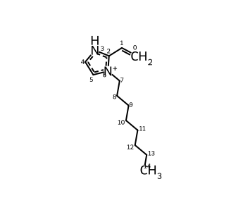 C=Cc1[nH]cc[n+]1CCCCCCCC